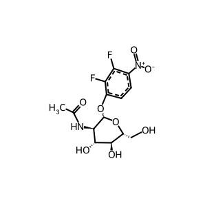 CC(=O)N[C@H]1[C@H](Oc2ccc([N+](=O)[O-])c(F)c2F)O[C@H](CO)[C@@H](O)[C@@H]1O